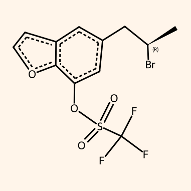 C[C@@H](Br)Cc1cc(OS(=O)(=O)C(F)(F)F)c2occc2c1